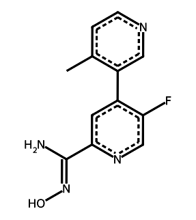 Cc1ccncc1-c1cc(/C(N)=N/O)ncc1F